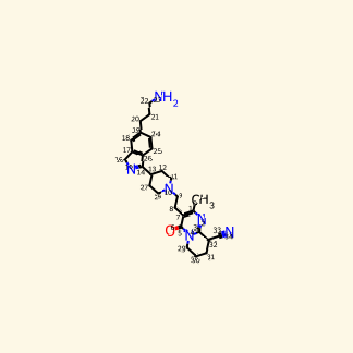 Cc1nc2n(c(=O)c1CCN1CCC(C3=NCc4cc(CCCN)ccc43)CC1)CCCC2C#N